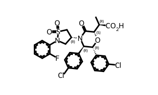 C[C@@H](C(=O)O)[C@@H]1O[C@H](c2cccc(Cl)c2)[C@@H](c2ccc(Cl)cc2)N([C@@H]2CN(c3ccccc3F)S(=O)(=O)C2)C1=O